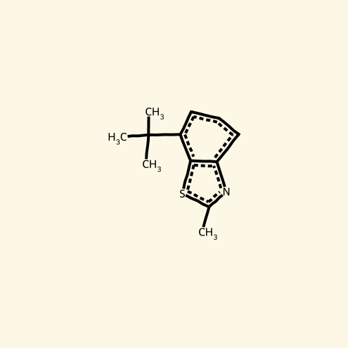 Cc1nc2cccc(C(C)(C)C)c2s1